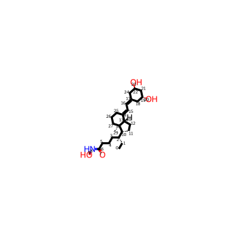 CC[C@H](CCCC(=O)NO)[C@H]1CC[C@H]2C(=CC=C3C[C@@H](O)C[C@H](O)C3)CCC[C@]12C